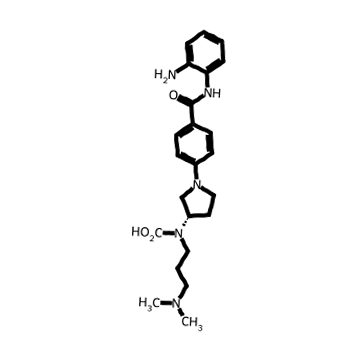 CN(C)CCCN(C(=O)O)[C@H]1CCN(c2ccc(C(=O)Nc3ccccc3N)cc2)C1